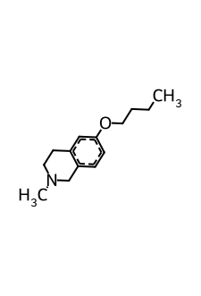 CCCCOc1ccc2c(c1)CCN(C)C2